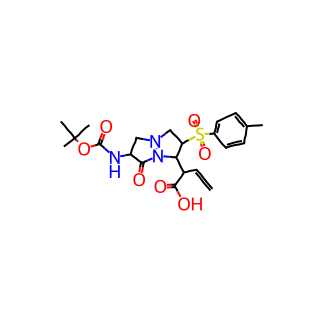 C=CC(C(=O)O)C1C(S(=O)(=O)c2ccc(C)cc2)CN2CC(NC(=O)OC(C)(C)C)C(=O)N12